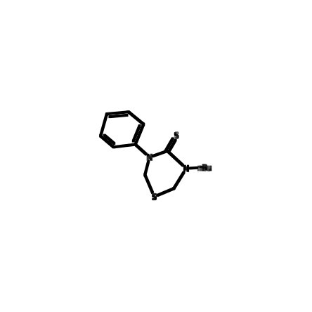 CCCCN1CSCN(c2ccccc2)C1=S